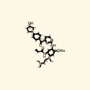 C=CC(=O)Nc1cc(Nc2nccc(C(=O)c3ccc(N4CC[C@H](O)C4)cc3)n2)c(OC)cc1N(C)CCN(C)C